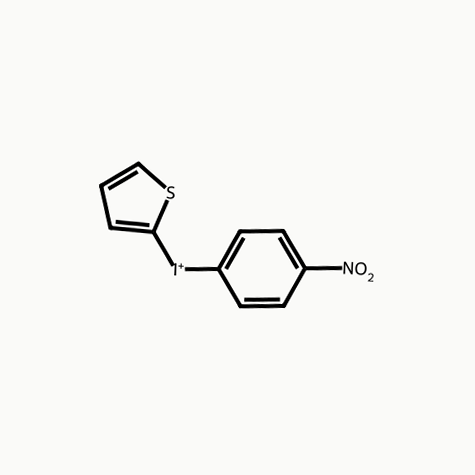 O=[N+]([O-])c1ccc([I+]c2cccs2)cc1